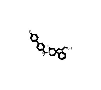 C[C@@H](c1ccc(-c2ccc(F)cc2)cc1)N1CCC(CCCO)(c2ccccc2)CC1=O